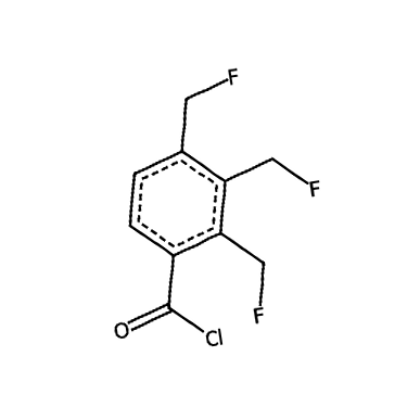 O=C(Cl)c1ccc(CF)c(CF)c1CF